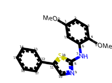 COc1ccc(OC)c(Nc2ncc(-c3ccccc3)s2)c1